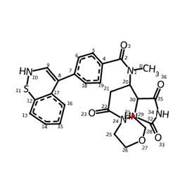 CN(C(=O)c1ccc(C2=CNSc3ccccc32)cc1)C(CC(=O)N1CCOCC1)C1NC(=O)NC1=O